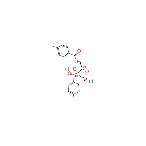 Cc1ccc(C(=O)OC[C@H]2O[C@H](Cl)C[C@@]2(OCl)C(=O)c2ccc(C)cc2)cc1